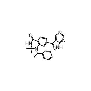 C[C@H](c1ccccc1)N1c2cc(-c3n[nH]c4ncncc34)ccc2C(=O)NC1(C)C